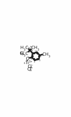 Cc1ccc([O][Ti+3])c(C(C)(C)C)c1.[Cl-].[Cl-].[Cl-]